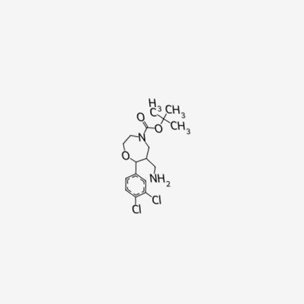 CC(C)(C)OC(=O)N1CCOC(c2ccc(Cl)c(Cl)c2)C(CN)C1